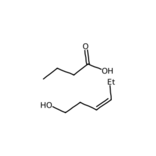 CC/C=C\CCO.CCCC(=O)O